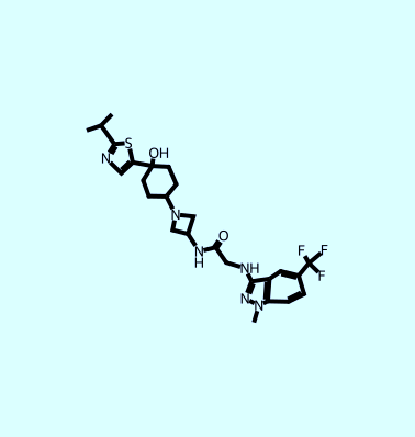 CC(C)c1ncc(C2(O)CCC(N3CC(NC(=O)CNc4nn(C)c5ccc(C(F)(F)F)cc45)C3)CC2)s1